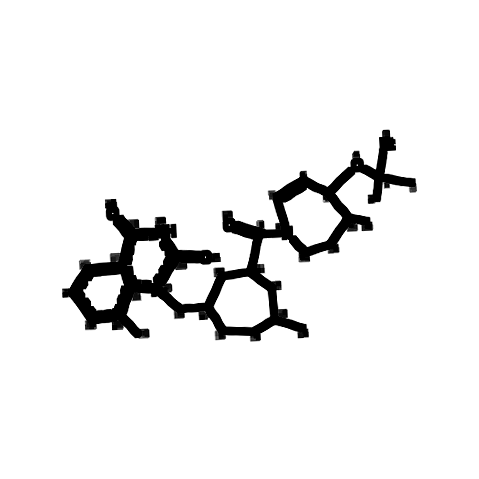 CCC(C)(C)OC1C=CN(C(=O)C2CC(C)CCC(Cn3c(=O)[nH]c(=O)c4cccc(C)c43)C2)CCC1C